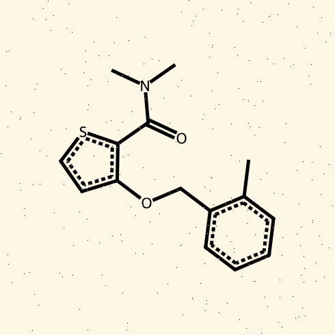 Cc1ccccc1COc1ccsc1C(=O)N(C)C